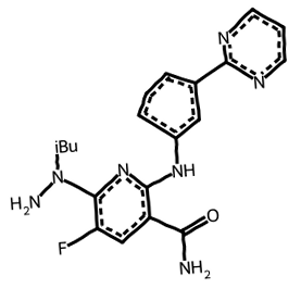 CCC(C)N(N)c1nc(Nc2cccc(-c3ncccn3)c2)c(C(N)=O)cc1F